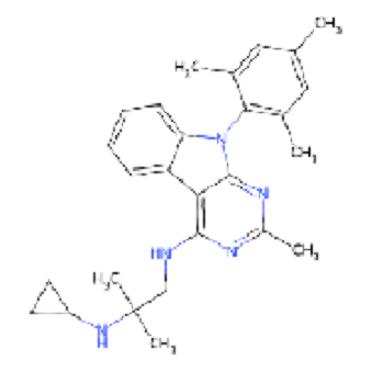 Cc1cc(C)c(-n2c3ccccc3c3c(NCC(C)(C)NC4CC4)nc(C)nc32)c(C)c1